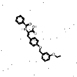 CCOc1cccc(COc2ccc(/C=C(/NC(=O)c3ccccc3)C(=O)O)cc2)c1